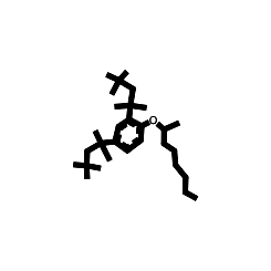 CCCCCCC(C)Oc1ccc(C(C)(C)CC(C)(C)C)cc1C(C)(C)CC(C)(C)C